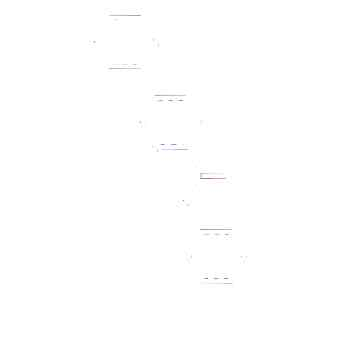 CC(C)S(=O)(=O)c1ccc(NC(=O)c2ccc(-c3ncccc3C(F)(F)F)cn2)cc1